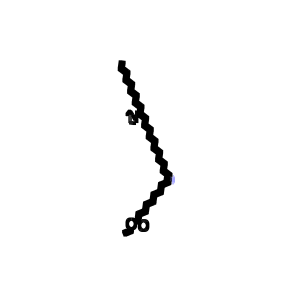 CCCCCCCCCC(CCCCCCCCCC/C=C\CCCCCCCC(=O)OCC)N(C)C